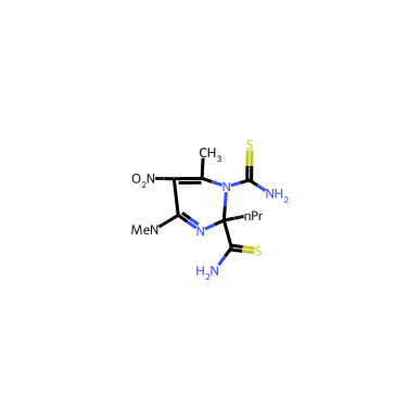 CCCC1(C(N)=S)N=C(NC)C([N+](=O)[O-])=C(C)N1C(N)=S